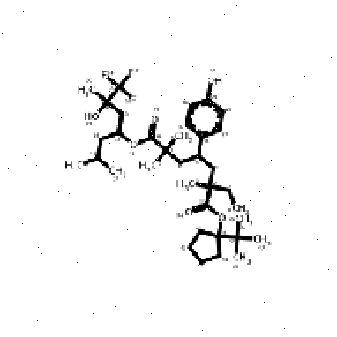 CCC(C)(CC(CC(C)(C)C(=O)OC(CC(C)C)CC(C)(O)C(F)(F)F)c1ccc(O)cc1)C(=O)OC1(C(C)(C)C)CCCC1